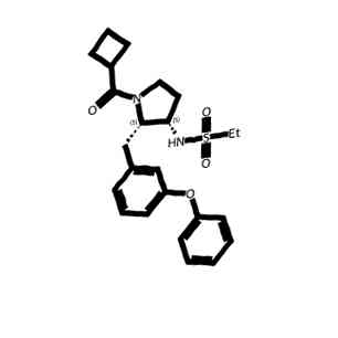 CCS(=O)(=O)N[C@H]1CCN(C(=O)C2CCC2)[C@H]1Cc1cccc(Oc2ccccc2)c1